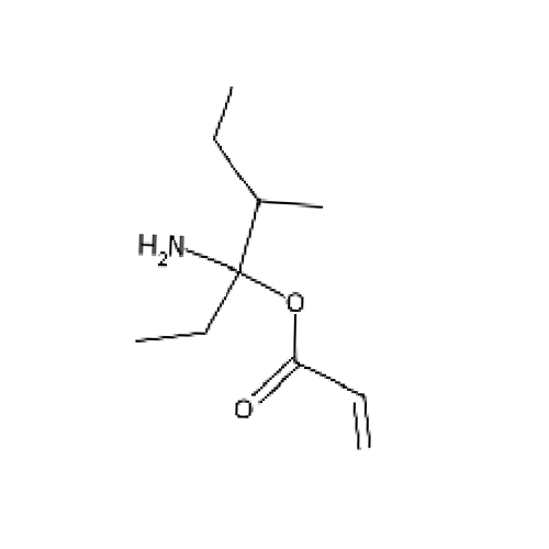 C=CC(=O)OC(N)(CC)C(C)CC